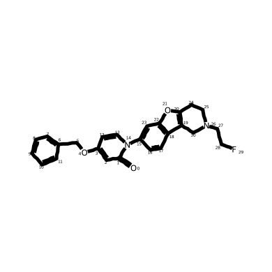 O=c1cc(OCc2ccccc2)ccn1-c1ccc2c3c(oc2c1)CCN(CCF)C3